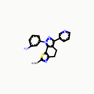 CC(=O)Nc1nc2c(s1)-c1c(c(-c3cccnc3)nn1-c1cccc(N)c1)CC2